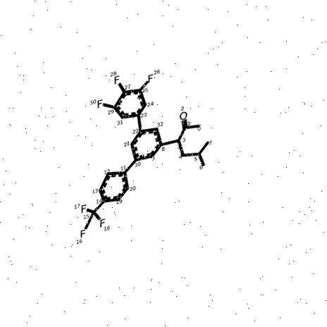 CC(=O)C(CC(C)C)c1cc(-c2ccc(C(F)(F)F)cc2)cc(-c2cc(F)c(F)c(F)c2)c1